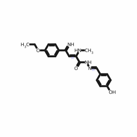 CCOc1ccc(C(=N)/C=C(\NC)C(=O)N/N=C/c2ccc(O)cc2)cc1